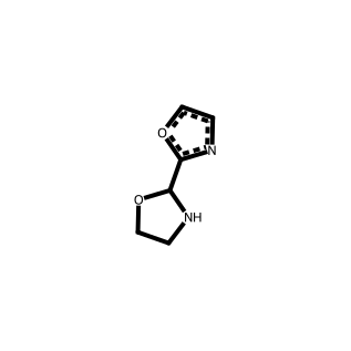 c1coc(C2NCCO2)n1